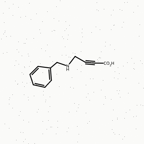 O=C(O)C#CCNCc1ccccc1